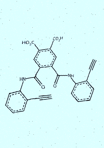 C#Cc1ccccc1NC(=O)c1cc(C(=O)O)c(C(=O)O)cc1C(=O)Nc1ccccc1C#C